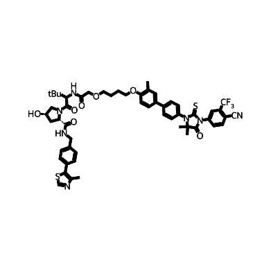 Cc1cc(-c2ccc(N3C(=S)N(c4ccc(C#N)c(C(F)(F)F)c4)C(=O)C3(C)C)cc2)ccc1OCCCCOCC(=O)NC(C(=O)N1C[C@H](O)C[C@H]1C(=O)NCc1ccc(-c2scnc2C)cc1)C(C)(C)C